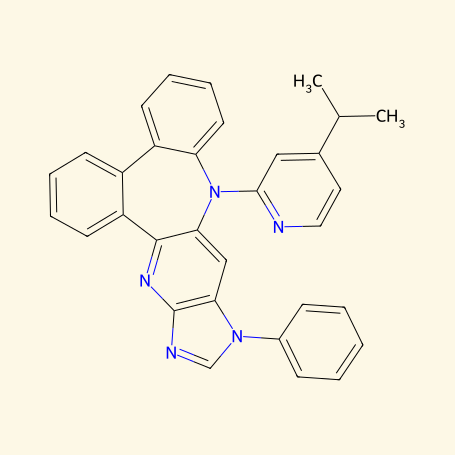 CC(C)c1ccnc(N2c3ccccc3-c3ccccc3-c3nc4ncn(-c5ccccc5)c4cc32)c1